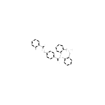 O=C(Nc1ccc(C(=O)N2c3ccccc3CNc3ccccc32)cc1)c1ccccc1F